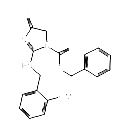 COc1ccccc1CNC1=NC(=O)CN1C(=O)OCc1ccccc1